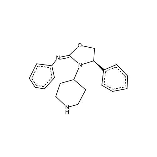 c1ccc(/N=C2/OC[C@@H](c3ccccc3)N2C2CCNCC2)cc1